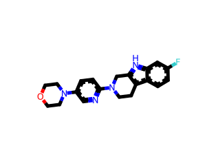 Fc1ccc2c3c([nH]c2c1)CN(c1ccc(N2CCOCC2)cn1)CC3